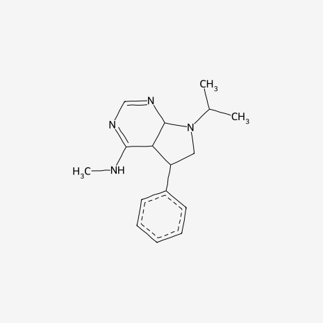 CNC1=NC=NC2C1C(c1ccccc1)CN2C(C)C